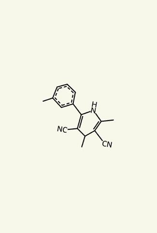 CC1=C(C#N)C(C)C(C#N)=C(c2cccc(C)c2)N1